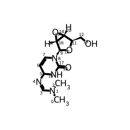 CN(C)/C=N\C1C=CN([C@@H]2O[C@H](CO)[C@H]3O[C@H]32)C(=O)N1